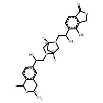 Cc1c(C(O)CN2C[C@H]3C[C@@H]2CN3CC(O)c2ccc3c(c2)C[C@@H](C)OC3=O)ccc2c1COC2=O